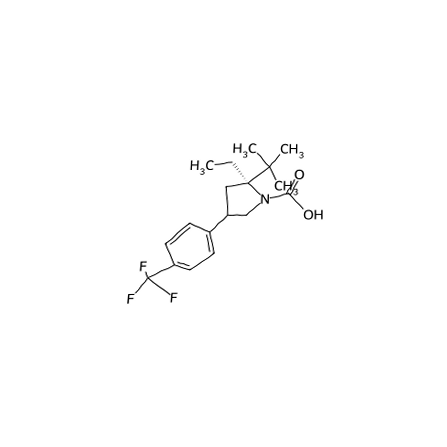 CC[C@@]1(C(C)(C)C)CC(c2ccc(C(F)(F)F)cc2)CN1C(=O)O